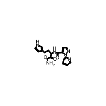 NC(=O)C(=O)C(CCc1cc[nH]c1)NC(=O)c1ccnn1-c1ccccn1